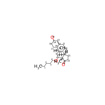 CCCCCOC1C[C@H]2[C@@H](CCC3=CC(=O)CC[C@@]32C)[C@@H]2CCC(=O)[C@@]12C